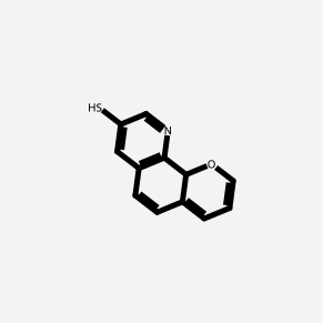 Sc1cnc2c(c1)C=CC1=CC=COC12